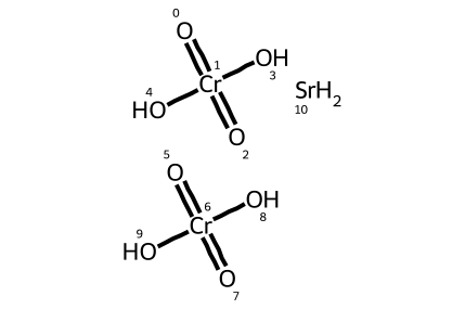 [O]=[Cr](=[O])([OH])[OH].[O]=[Cr](=[O])([OH])[OH].[SrH2]